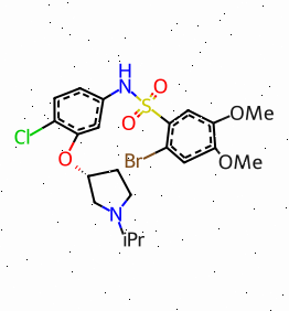 COc1cc(Br)c(S(=O)(=O)Nc2ccc(Cl)c(O[C@@H]3CCN(C(C)C)C3)c2)cc1OC